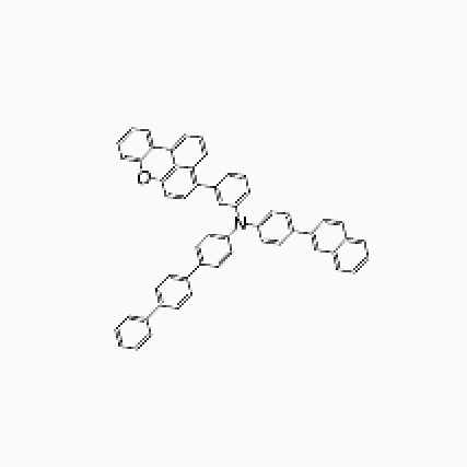 c1ccc(-c2ccc(-c3ccc(N(c4ccc(-c5ccc6ccccc6c5)cc4)c4cccc(-c5ccc6c7c(cccc57)-c5ccccc5O6)c4)cc3)cc2)cc1